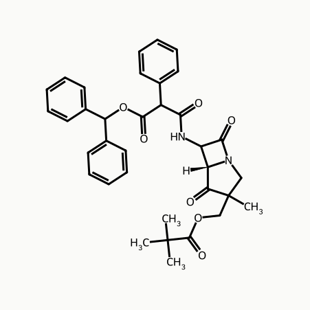 CC(C)(C)C(=O)OCC1(C)CN2C(=O)C(NC(=O)C(C(=O)OC(c3ccccc3)c3ccccc3)c3ccccc3)[C@H]2C1=O